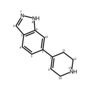 C1=C(c2ccc3cn[nH]c3c2)CCNC1